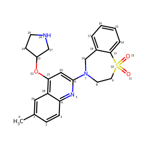 Cc1ccc2nc(N3CCS(=O)(=O)c4ccccc4C3)cc(OC3CCNC3)c2c1